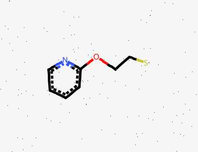 [S]CCOc1ccccn1